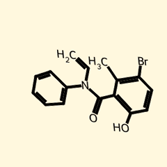 C=CN(C(=O)c1c(O)ccc(Br)c1C)c1ccccc1